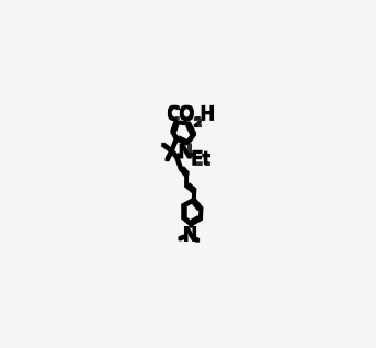 CCN1c2ccc(C(=O)O)cc2C(C)(C)C1/C=C/C=C/c1ccc(N(C)C)cc1